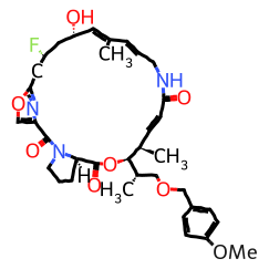 COc1ccc(COC[C@H](C)[C@H]2OC(=O)[C@H]3CCCN3C(=O)c3coc(n3)C[C@H](F)C[C@H](O)/C=C(C)/C=C/CNC(=O)/C=C/[C@H]2C)cc1